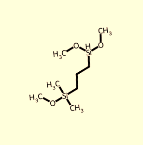 CO[SiH](CCC[Si](C)(C)OC)OC